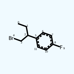 CCC(CBr)c1ccc(F)cc1